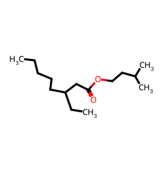 CCCCCC(CC)CC(=O)OCCC(C)C